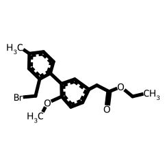 CCOC(=O)Cc1ccc(OC)c(-c2ccc(C)cc2CBr)c1